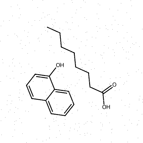 CCCCCCCC(=O)O.Oc1cccc2ccccc12